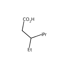 CCC(CC(=O)O)C(C)C